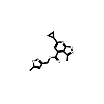 Cc1cc(COC(=O)c2cc(C3CC3)nc3onc(C)c23)no1